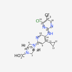 O=C(O)N1C[C@H]2C[C@@H]1CN2c1cc(C2CC2)c(Nc2ncc(C(F)(F)F)c(Cl)n2)cn1